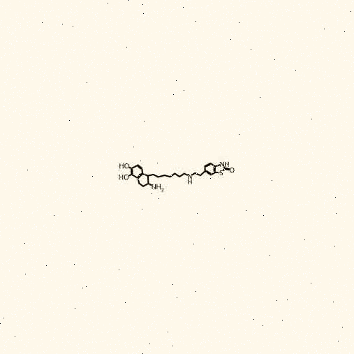 NC1CCc2c(ccc(O)c2O)C1CCCCCCCNCCc1ccc2[nH]c(=O)sc2c1